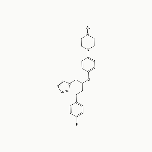 CC(=O)N1CCN(c2ccc(OC(CCc3ccc(F)cc3)Cn3ccnc3)cc2)CC1